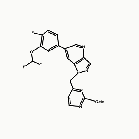 COc1nccc(Cn2ncc3ncc(-c4ccc(F)c(OC(F)F)c4)cc32)n1